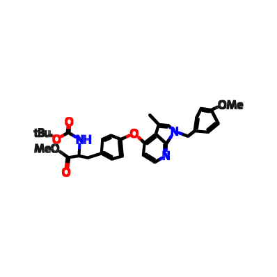 COC(=O)C(Cc1ccc(Oc2ccnc3c2c(C)cn3Cc2ccc(OC)cc2)cc1)NC(=O)OC(C)(C)C